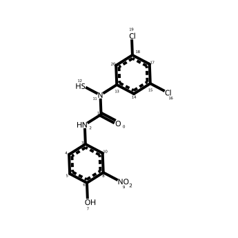 O=C(Nc1ccc(O)c([N+](=O)[O-])c1)N(S)c1cc(Cl)cc(Cl)c1